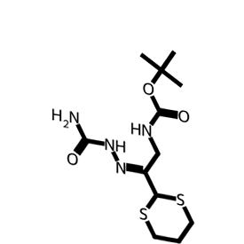 CC(C)(C)OC(=O)NCC(=NNC(N)=O)C1SCCCS1